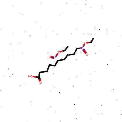 CCOP=O.CCO[P](=O)CCCCCCCCCC(=O)O